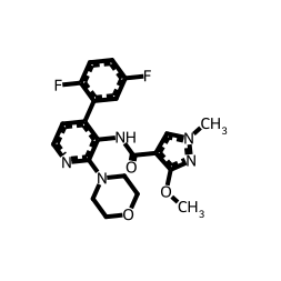 COc1nn(C)cc1C(=O)Nc1c(-c2cc(F)ccc2F)ccnc1N1CCOCC1